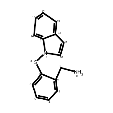 NCc1ccccc1Sn1ccc2ccccc21